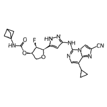 N#Cc1cn2c(Nc3cc([C@H]4OC[C@@H](OC(=O)NC56CC(C5)C6)[C@H]4F)[nH]n3)ncc(C3CC3)c2n1